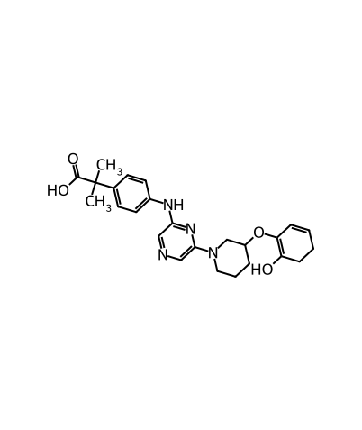 CC(C)(C(=O)O)c1ccc(Nc2cncc(N3CCCC(OC4=C(O)CCC=C4)C3)n2)cc1